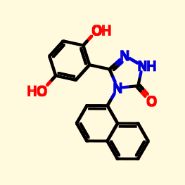 O=c1[nH]nc(-c2cc(O)ccc2O)n1-c1cccc2ccccc12